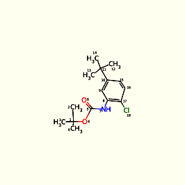 CC(C)(C)OC(=O)Nc1cc(C(C)(C)C)ccc1Cl